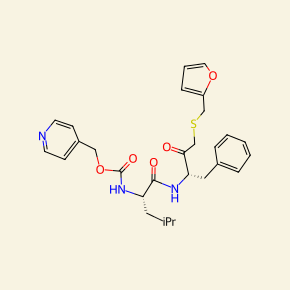 CC(C)C[C@H](NC(=O)OCc1ccncc1)C(=O)N[C@@H](Cc1ccccc1)C(=O)CSCc1ccco1